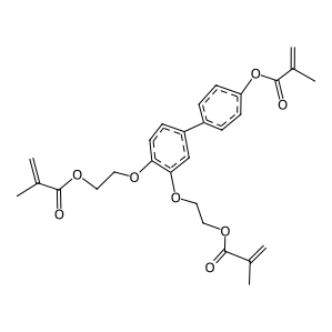 C=C(C)C(=O)OCCOc1ccc(-c2ccc(OC(=O)C(=C)C)cc2)cc1OCCOC(=O)C(=C)C